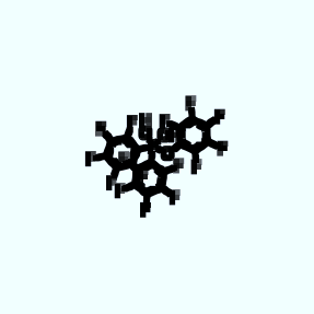 OP(O)(Oc1c(F)c(F)c(F)c(F)c1F)(c1c(F)c(F)c(F)c(F)c1F)c1c(F)c(F)c(F)c(F)c1F